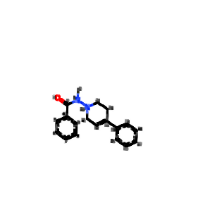 CN(C(=O)c1ccccc1)N1CC=C(c2ccccc2)CC1